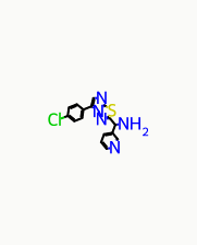 NC(c1cccnc1)c1nn2c(-c3ccc(Cl)cc3)cnc2s1